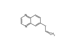 C=C[CH]c1ccc2nccnc2c1